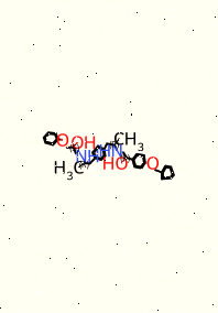 C[C@H](Cc1ccc(C[C@@H](C)NC[C@H](O)c2ccc(OCc3ccccc3)cc2)cc1)NC[C@H](O)COc1ccccc1